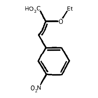 CCOC(=Cc1cccc([N+](=O)[O-])c1)C(=O)O